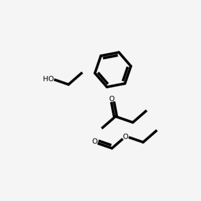 CCC(C)=O.CCO.CCOC=O.c1ccccc1